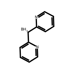 B.c1ccc(Cc2ccccn2)nc1